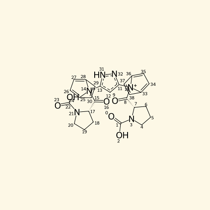 O=C(O)N1CCC[C@H]1C(=O)[N+]1(c2cc([N+]3(C(=O)[C@@H]4CCCN4C(=O)O)C4=CC=C3C=C4)[nH]n2)C2=CC=C1C=C2